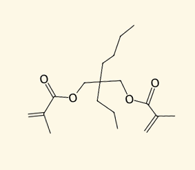 C=C(C)C(=O)OCC(CCC)(CCCC)COC(=O)C(=C)C